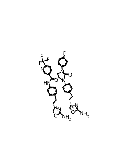 NC1=N[C@@H](CCc2ccc(N3CCN(c4ccc(F)cc4)C3=O)cc2)CO1.NC1=N[C@@H](CCc2ccc(NC(=O)c3ccc(C(F)(F)F)nc3)cc2)CO1